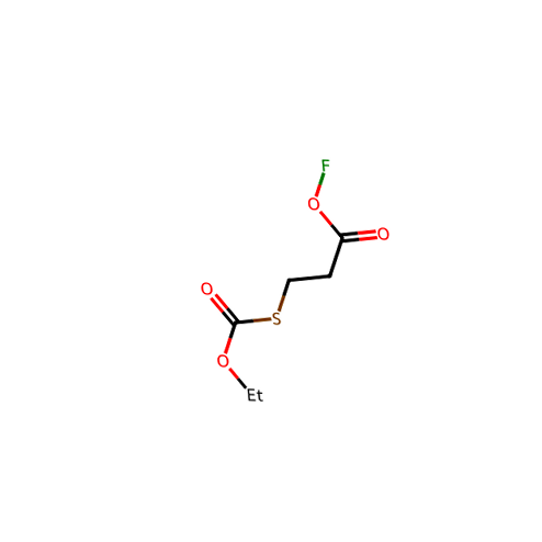 CCOC(=O)SCCC(=O)OF